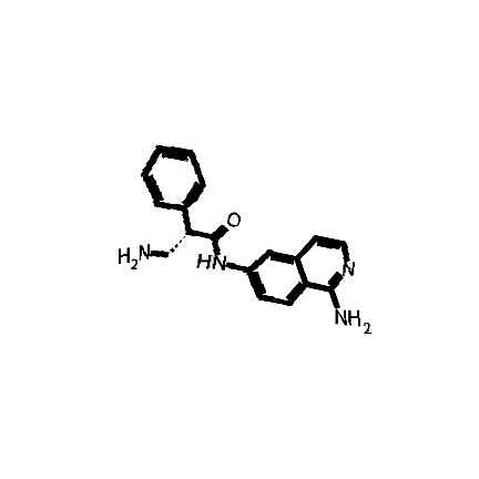 NC[C@@H](C(=O)Nc1ccc2c(N)nccc2c1)c1ccccc1